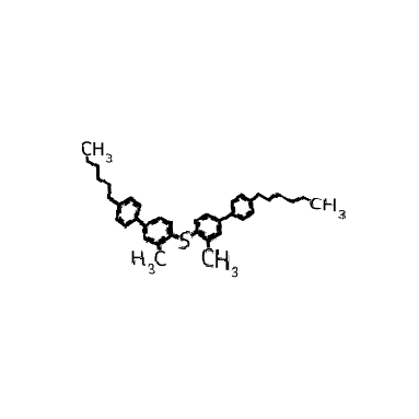 CCCCCCc1ccc(-c2ccc(Sc3ccc(-c4ccc(CCCCCC)cc4)cc3C)c(C)c2)cc1